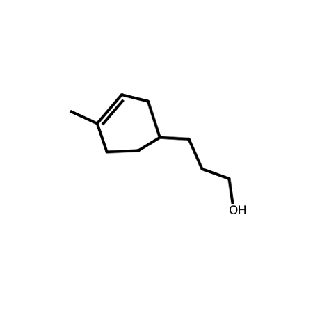 CC1=CCC(CCCO)CC1